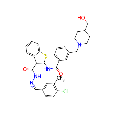 O=C(Nc1sc2ccccc2c1C(=O)N/N=C\c1ccc(Cl)c(C(F)(F)F)c1)c1cccc(CN2CCC(CO)CC2)c1